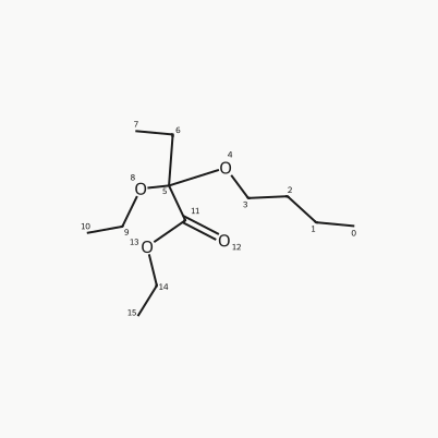 CCCCOC(CC)(OCC)C(=O)OCC